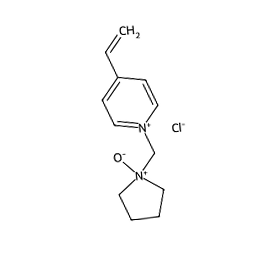 C=Cc1cc[n+](C[N+]2([O-])CCCC2)cc1.[Cl-]